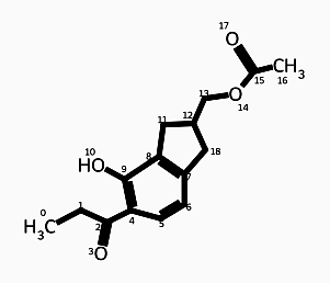 CCC(=O)c1ccc2c(c1O)CC(COC(C)=O)C2